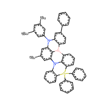 CC(C)(C)c1cc(N2c3cc(-c4ccccc4)ccc3B3c4cccc5c4N(c4ccccc4S5(c4ccccc4)c4ccccc4)c4cc(C(C)(C)C)cc2c43)cc(C(C)(C)C)c1